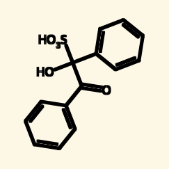 O=C(c1ccccc1)C(O)(c1ccccc1)S(=O)(=O)O